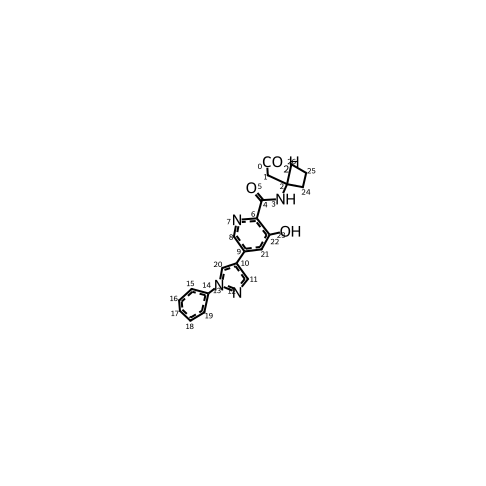 O=C(O)CC1(NC(=O)c2ncc(-c3cnn(-c4ccccc4)c3)cc2O)CCC1